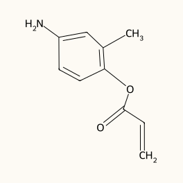 C=CC(=O)Oc1ccc(N)cc1C